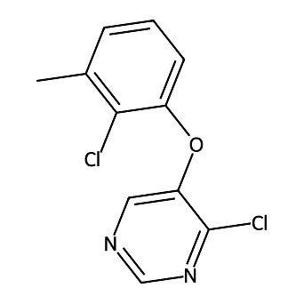 Cc1cccc(Oc2cncnc2Cl)c1Cl